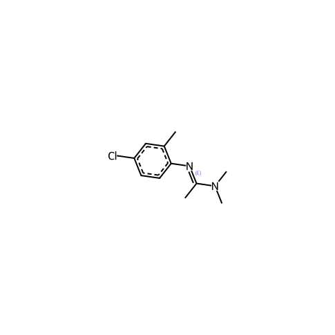 C/C(=N\c1ccc(Cl)cc1C)N(C)C